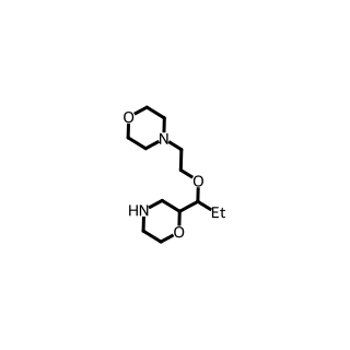 CCC(OCCN1CCOCC1)C1CNCCO1